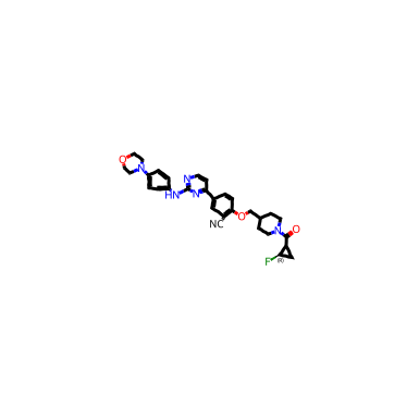 N#Cc1cc(-c2ccnc(Nc3ccc(N4CCOCC4)cc3)n2)ccc1OCC1CCN(C(=O)C2C[C@H]2F)CC1